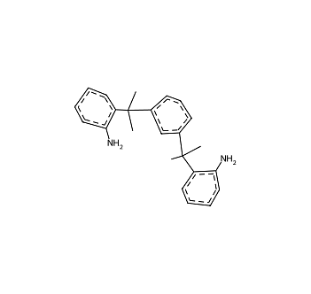 CC(C)(c1cccc(C(C)(C)c2ccccc2N)c1)c1ccccc1N